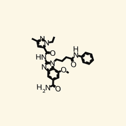 CCn1nc(C)cc1C(=O)Nc1nc2cc(C(N)=O)cc(OC)c2n1CCCC(=O)Nc1ccccc1